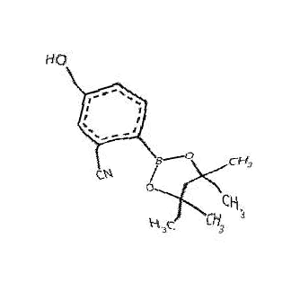 CC1(C)OB(c2ccc(O)cc2C#N)OC1(C)C